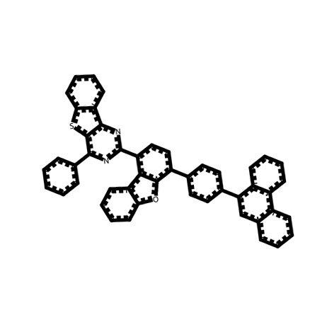 c1ccc(-c2nc(-c3ccc(-c4ccc(-c5cc6ccccc6c6ccccc56)cc4)c4oc5ccccc5c34)nc3c2sc2ccccc23)cc1